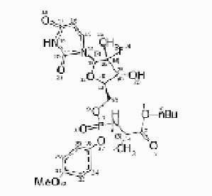 CCCCOC(=O)[C@H](C)NP(=O)(OC[C@H]1O[C@@H](n2ccc(=O)[nH]c2=O)[C@](C)(F)[C@@H]1O)Oc1ccc(OC)cc1